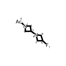 CC(=O)N1CC(N2CC(F)C2)C1